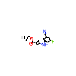 COC(=O)[C@H]1C[C@@H](Nc2cc(F)cc(C#N)c2)C1